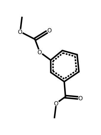 COC(=O)Oc1cccc(C(=O)OC)c1